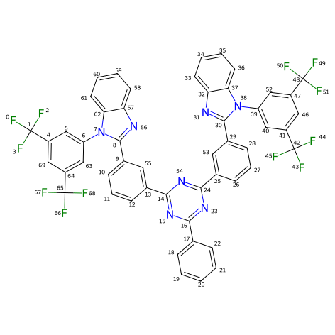 FC(F)(F)c1cc(-n2c(-c3cccc(-c4nc(-c5ccccc5)nc(-c5cccc(-c6nc7ccccc7n6-c6cc(C(F)(F)F)cc(C(F)(F)F)c6)c5)n4)c3)nc3ccccc32)cc(C(F)(F)F)c1